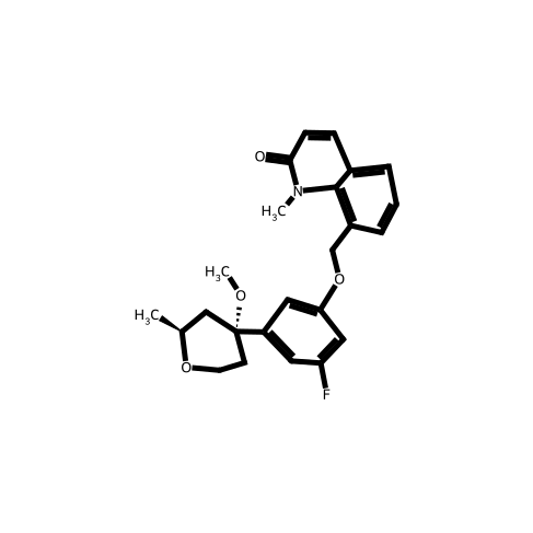 CO[C@]1(c2cc(F)cc(OCc3cccc4ccc(=O)n(C)c34)c2)CCO[C@@H](C)C1